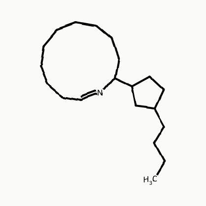 CCCCC1CCC(C2CCCCCCCCCC=N2)C1